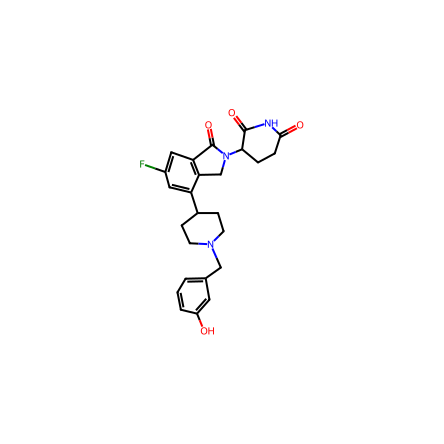 O=C1CCC(N2Cc3c(cc(F)cc3C3CCN(Cc4cccc(O)c4)CC3)C2=O)C(=O)N1